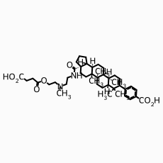 CN(CCNC(=O)[C@]12CCC[C@@H]1[C@H]1CC[C@@H]3[C@@]4(C)CC=C(c5ccc(C(=O)O)cc5)C(C)(C)[C@@H]4CC[C@@]3(C)[C@]1(C)CC2)CCOC(=O)CCC(=O)O